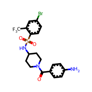 Nc1ccc(C(=O)N2CCC(NS(=O)(=O)c3ccc(Br)cc3C(F)(F)F)CC2)cc1